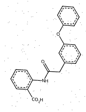 O=C(Cc1cccc(Oc2ccccc2)c1)Nc1ccccc1C(=O)O